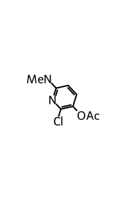 CNc1ccc(OC(C)=O)c(Cl)n1